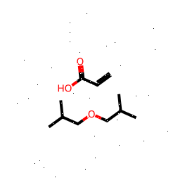 C=CC(=O)O.CC(C)COCC(C)C